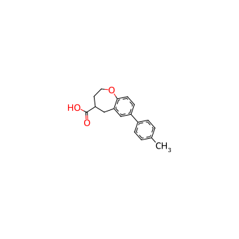 Cc1ccc(-c2ccc3c(c2)CC(C(=O)O)CCO3)cc1